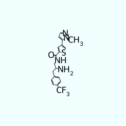 Cn1nccc1-c1csc(C(=O)NCC(N)Cc2ccc(C(F)(F)F)cc2)c1